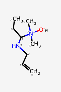 C=CCNC(CC)[N+](C)(C)[O-]